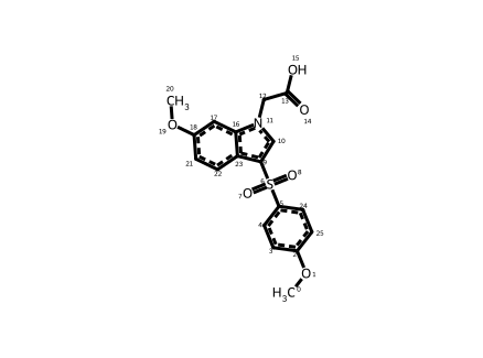 COc1ccc(S(=O)(=O)c2cn(CC(=O)O)c3cc(OC)ccc23)cc1